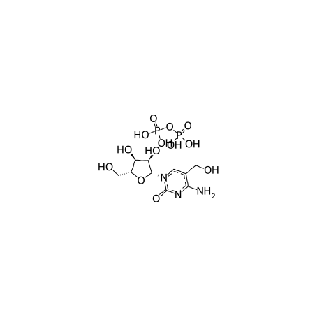 Nc1nc(=O)n([C@@H]2O[C@H](CO)[C@@H](O)[C@H]2O)cc1CO.O=P(O)(O)OP(=O)(O)O